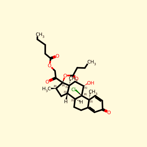 CCCCC(=O)OCC(=O)[C@@]1(OC(=O)CCC)[C@H](C)C[C@H]2[C@@H]3CCC4=CC(=O)C=C[C@]4(C)[C@@]3(Cl)[C@@H](O)C[C@@]21C